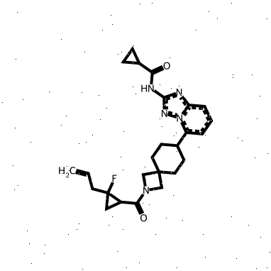 C=CCC1(F)CC1C(=O)N1CC2(CCC(c3cccc4nc(NC(=O)C5CC5)nn34)CC2)C1